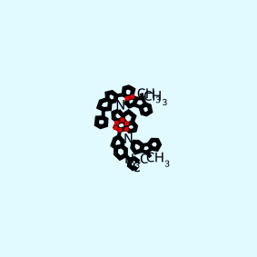 CC1(C)c2ccccc2-c2cc(N(c3c(-c4ccccc4)ccc4ccc(-c5ccccc5)cc34)c3ccc4ccc5c(N(c6ccc7c(c6)-c6ccccc6C7(C)C)c6c(-c7ccccc7)ccc7ccc(-c8ccccc8)cc67)ccc6ccc3c4c65)ccc21